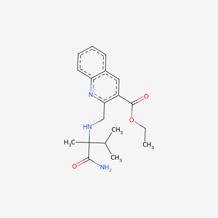 CCOC(=O)c1cc2ccccc2nc1CNC(C)(C(N)=O)C(C)C